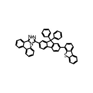 c1ccc(C2(c3ccccc3)c3cc(-c4cccc5c4sc4ccccc45)ccc3-c3ccc(-c4nnc5c6ccccc6c6ccccc6n45)cc32)cc1